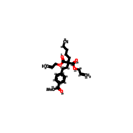 C=CCOC(=O)C(CCCCC#N)(CCc1ccc(C(=O)OC)cc1)C(=O)OCC=C